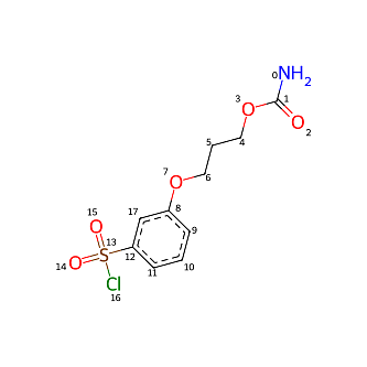 NC(=O)OCCCOc1cccc(S(=O)(=O)Cl)c1